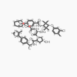 Cc1ccc(O[C@H]2C(C)(C)[C@H](NC(=O)c3ccc(N4CC5CCC(C4)N5COCC(=O)N[C@H](C(=O)N4C[C@H](O)CC4C(=O)N[C@@H](C)c4ccc(-c5scnc5C)cc4)C(C)(C)C)nc3)C2(C)C)cc1Cl